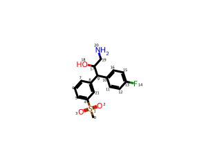 CS(=O)(=O)c1cccc(C(c2ccc(F)cc2)C(O)CN)c1